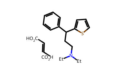 CCN(CC)CCC(c1ccccc1)c1cccs1.O=C(O)C=CC(=O)O